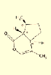 CC1=COC(=O)[C@@H]2[C@@H](C)CC[C@@H]12